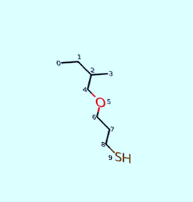 CCC(C)COCCCS